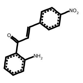 Nc1ccccc1C(=O)/C=C/c1ccc([N+](=O)[O-])cc1